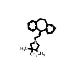 CC1CN(CC=C2c3ccccc3CCc3ccccc32)CC1(C)C